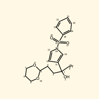 CC(C)C(O)(CCC1OCCCO1)c1ccn(S(=O)(=O)c2ccccc2)c1